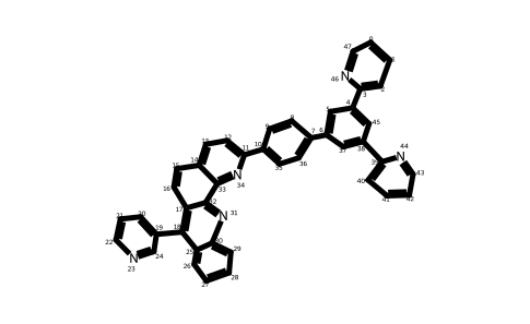 c1ccc(-c2cc(-c3ccc(-c4ccc5ccc6c(-c7cccnc7)c7ccccc7nc6c5n4)cc3)cc(-c3ccccn3)c2)nc1